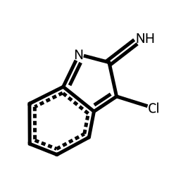 N=C1N=c2ccccc2=C1Cl